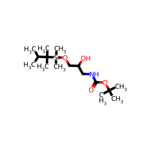 CC(C)C(C)(C)[Si](C)(C)OCC(O)CNC(=O)OC(C)(C)C